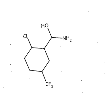 NC(O)C1CC(C(F)(F)F)CCC1Cl